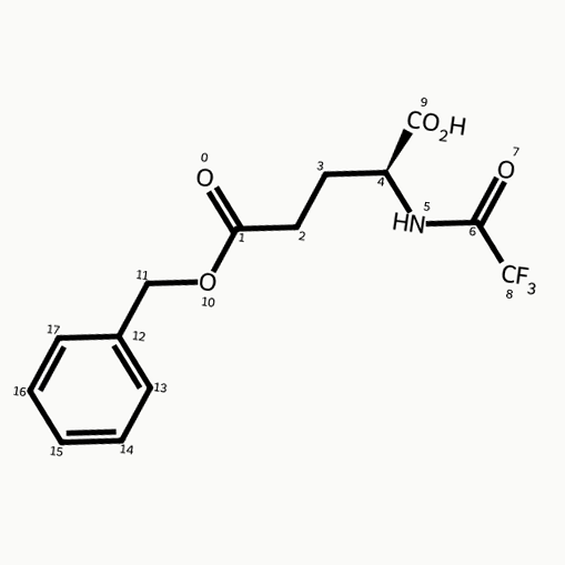 O=C(CC[C@H](NC(=O)C(F)(F)F)C(=O)O)OCc1ccccc1